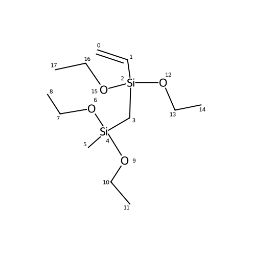 C=C[Si](C[Si](C)(OCC)OCC)(OCC)OCC